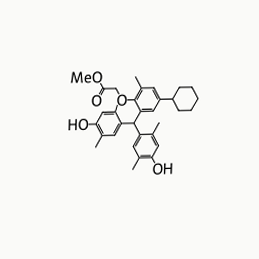 COC(=O)COc1c(C)cc(C2CCCCC2)cc1C(c1cc(C)c(O)cc1C)c1cc(C)c(O)cc1C